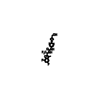 Cc1c([C@H](NC(=O)Nc2cnc(N3CC(CO)C3)nc2)C(F)(F)F)oc2c(F)cc(F)cc12